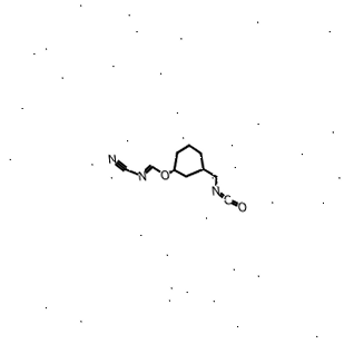 N#C/N=C/O[C@H]1CCCC(CN=C=O)C1